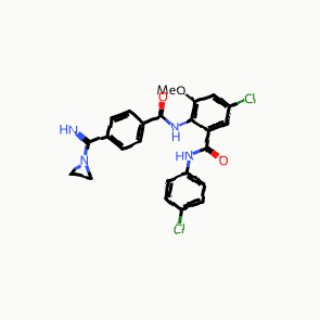 COc1cc(Cl)cc(C(=O)Nc2ccc(Cl)cc2)c1NC(=O)c1ccc(C(=N)N2CC2)cc1